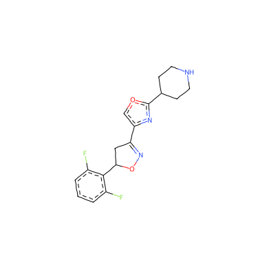 Fc1cccc(F)c1C1CC(c2coc(C3CCNCC3)n2)=NO1